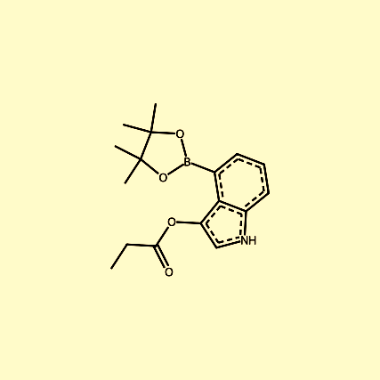 CCC(=O)Oc1c[nH]c2cccc(B3OC(C)(C)C(C)(C)O3)c12